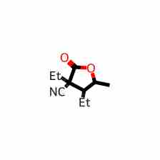 CCC1C(C)OC(=O)C1(C#N)CC